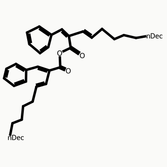 CCCCCCCCCCCCCCC=CC(=Cc1ccccc1)C(=O)OC(=O)C(C=CCCCCCCCCCCCCCC)=Cc1ccccc1